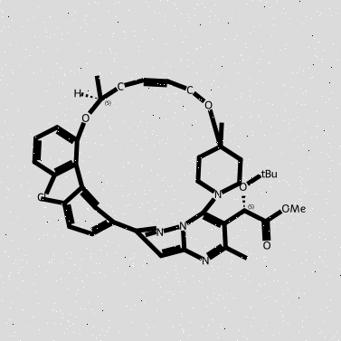 COC(=O)[C@@H](OC(C)(C)C)c1c(C)nc2cc3nn2c1N1CCC(C)(CC1)OCC=CC[C@H](C)Oc1cccc(Cl)c1-c1cc-3ccc1C